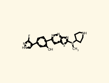 CN(c1nc2nnc(-c3ccc(-c4c[nH]nc4F)cc3O)cc2s1)C1CCNCC1